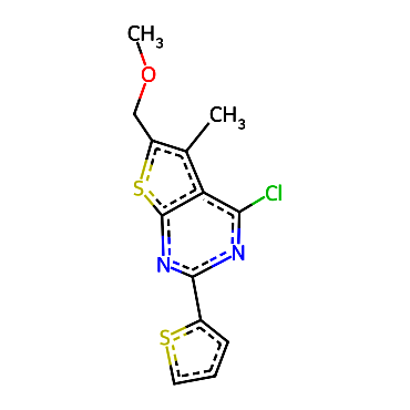 COCc1sc2nc(-c3cccs3)nc(Cl)c2c1C